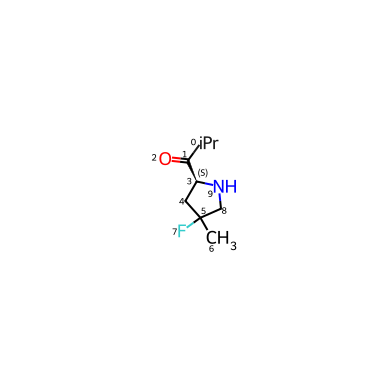 CC(C)C(=O)[C@@H]1CC(C)(F)CN1